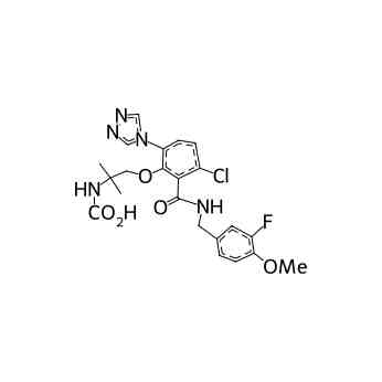 COc1ccc(CNC(=O)c2c(Cl)ccc(-n3cnnc3)c2OCC(C)(C)NC(=O)O)cc1F